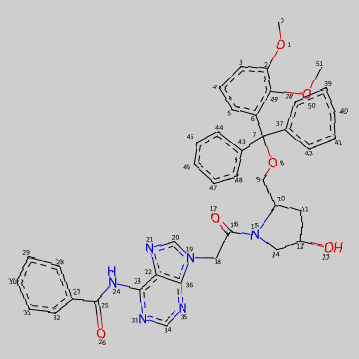 COc1cccc(C(OCC2CC(O)CN2C(=O)Cn2cnc3c(NC(=O)c4ccccc4)ncnc32)(c2ccccc2)c2ccccc2)c1OC